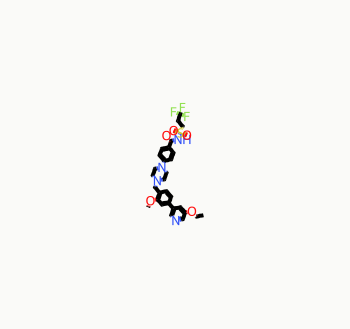 CCOc1cncc(-c2ccc(CN3CCN(c4ccc(C(=O)NS(=O)(=O)CCC(F)(F)F)cc4)CC3)c(OC)c2)c1